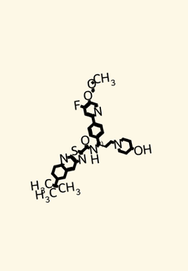 COCOc1cnc(-c2ccc([C@@H](CCN3CCC(O)CC3)NC(=O)c3nc4cc5c(nc4s3)CCC(C(C)(C)C)C5)cc2)cc1F